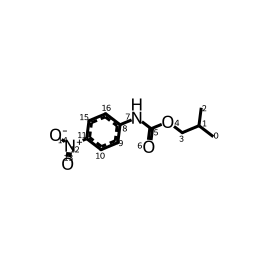 CC(C)COC(=O)Nc1ccc([N+](=O)[O-])cc1